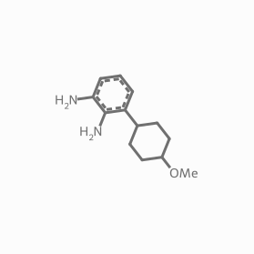 COC1CCC(c2cccc(N)c2N)CC1